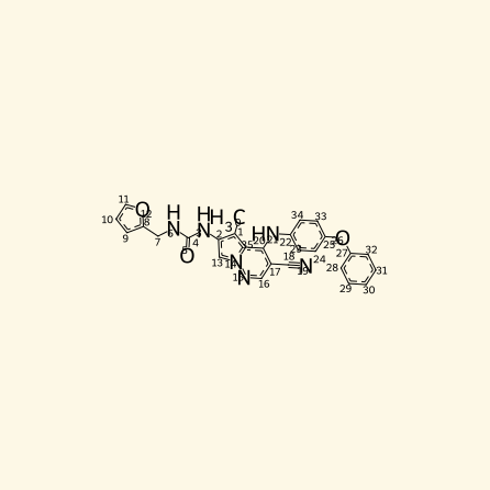 Cc1c(NC(=O)NCc2ccco2)cn2ncc(C#N)c(Nc3ccc(Oc4ccccc4)cc3)c12